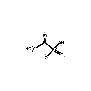 CCC(C(=O)O)P(=O)(O)S